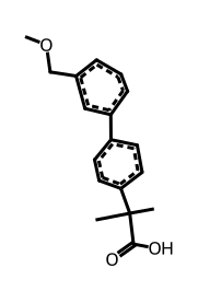 COCc1cccc(-c2ccc(C(C)(C)C(=O)O)cc2)c1